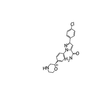 NC(=O)c1cc(-c2ccc(Cl)cc2)nn1-c1ccc([C@@H]2CNCCO2)cc1